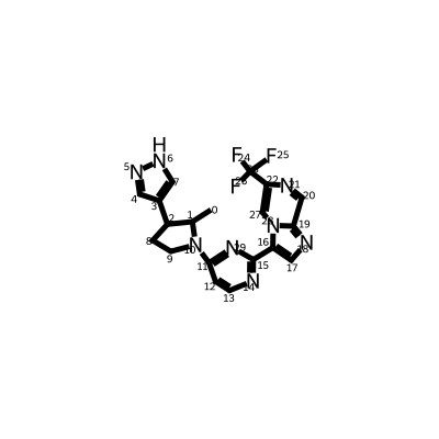 CC1C(c2cn[nH]c2)CCN1c1ccnc(-c2cnc3cnc(C(F)(F)F)cn23)n1